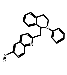 O=Nc1ccc2nc(CC3c4ccccc4CCN3c3ccccc3)ccc2c1